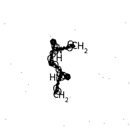 C=CC(=O)OCCCCCNC(=O)OC(COCCOc1cccc(OCCOCC(COc2ccccc2)OC(=O)NCCCCCOC(=O)C=C)c1)COc1ccccc1